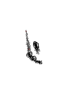 CCCCCCCCCCCCCCCCCCCC1OCC(COC(=O)CCC[n+]2ccsc2)O1.Cc1ccc(S(=O)(=O)[O-])cc1